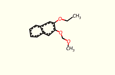 CCOc1cc2ccccc2cc1OCOC